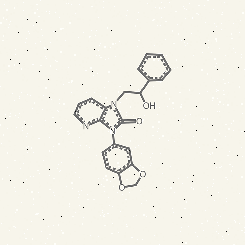 O=c1n(CC(O)c2ccccc2)c2cccnc2n1-c1ccc2c(c1)OCO2